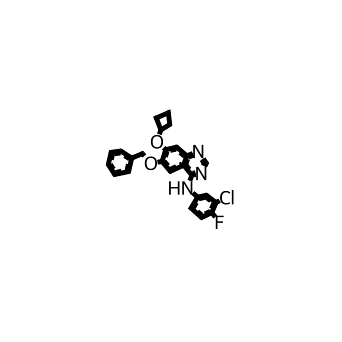 Fc1ccc(Nc2ncnc3cc(OC4CCC4)c(OCc4ccccc4)cc23)cc1Cl